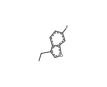 [CH2]Cc1coc2cc(F)ccc12